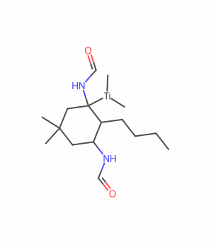 CCCCC1C(NC=O)CC(C)(C)C[C]1(NC=O)[Ti]([CH3])[CH3]